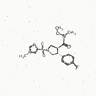 CON(C)C(=O)[C@@H]1CN(S(=O)(=O)c2cn(C)cn2)C[C@H]1c1ccc(F)cc1